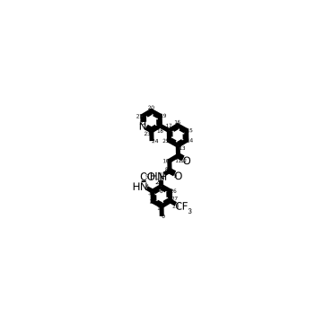 Cc1cc(NC(=O)O)c(NC(=O)CC(=O)c2cccc(-c3cccnc3C)c2)cc1C(F)(F)F